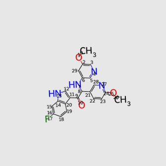 COc1cncc(NC(C(=O)c2c[nH]c3cc(F)ccc23)c2ccc(OC)nc2)c1